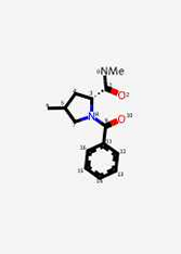 CNC(=O)[C@H]1CC(C)CN1C(=O)c1ccccc1